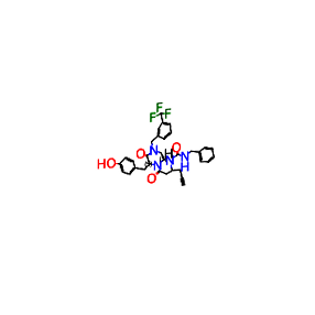 C#CCC1CC(=O)N2[C@H](CN(Cc3cccc(C(F)(F)F)c3)C(=O)[C@@H]2Cc2ccc(O)cc2)N1C(=O)NCc1ccccc1